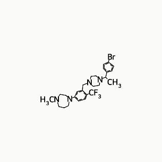 CC(c1ccc(Br)cc1)N1CCN(Cc2cc(N3CCCN(C)CC3)ccc2C(F)(F)F)CC1